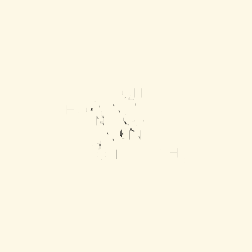 CCCCCNC(=O)N1CCN(CC(=O)O)CCN(CC(=O)O)CCN(CC(=O)O)CC1